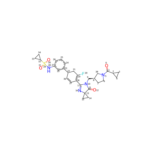 O=C(C1CC1)N1CC[C@@H](CN2C(=O)C3(CC3)N=C2C2=C(F)CC(c3cccc(NS(=O)(=O)C4CC4)c3)C=C2)C1